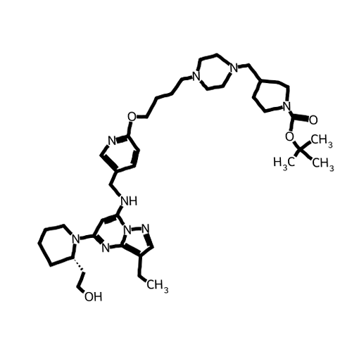 CCc1cnn2c(NCc3ccc(OCCCCN4CCN(CC5CCN(C(=O)OC(C)(C)C)CC5)CC4)nc3)cc(N3CCCC[C@H]3CCO)nc12